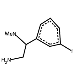 CNC(CN)c1cccc(I)c1